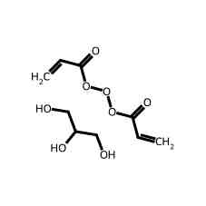 C=CC(=O)OOOC(=O)C=C.OCC(O)CO